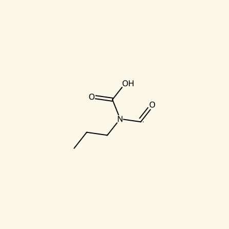 CCCN([C]=O)C(=O)O